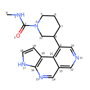 CNC(=O)N1CCCC(c2cncc3cnc4[nH]ccc4c23)C1